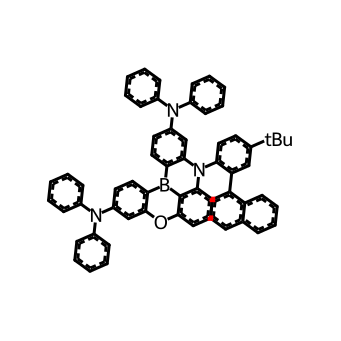 CC(C)(C)c1ccc(N2c3cc(N(c4ccccc4)c4ccccc4)ccc3B3c4ccc(N(c5ccccc5)c5ccccc5)cc4Oc4cccc2c43)c(-c2cccc3ccccc23)c1